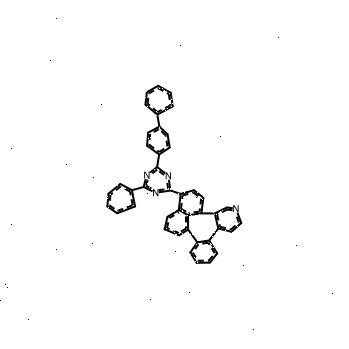 c1ccc(-c2ccc(-c3nc(-c4ccccc4)nc(-c4ccc5c6c(cccc46)-c4ccccc4-c4ccncc4-5)n3)cc2)cc1